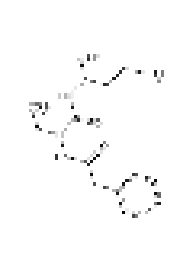 O=C(O)CCC(NC(=O)N(CC(=O)O)NC(=O)Cc1ccccc1)C(=O)O